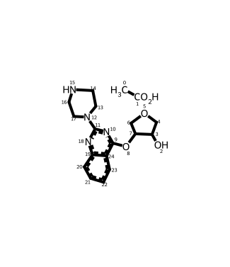 CC(=O)O.OC1COCC1Oc1nc(N2CCNCC2)nc2ccccc12